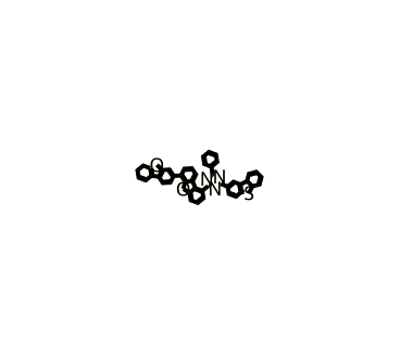 C1=CC2Sc3ccc(-c4nc(-c5ccccc5)nc(-c5cccc6oc7c(-c8ccc9c%10c(oc9c8)CCC=C%10)cccc7c56)n4)cc3C2C=C1